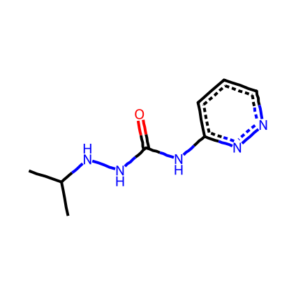 CC(C)NNC(=O)Nc1cccnn1